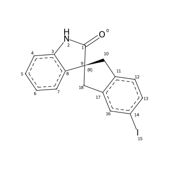 O=C1Nc2ccccc2[C@]12Cc1ccc(I)cc1C2